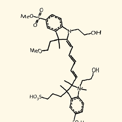 COCCC1(C)\C(=C/C=C/C=C/C2(C)C(C)(CCCS(=O)(=O)O)c3cc(S(=O)(=O)O)ccc3[N+]2(C)CCO)N(CCO)c2ccc(S(=O)(=O)OC)cc21